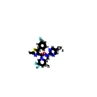 Cc1nc(C(=O)N2CC(F)(F)C[C@@H](C)[C@H]2CNc2ncc(C(F)(F)F)cn2)c(-c2cccc(F)c2)s1